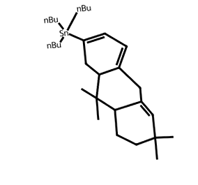 CCC[CH2][Sn]([CH2]CCC)([CH2]CCC)[C]1=CC=C2CC3=CC(C)(C)CCC3C(C)(C)C2C1